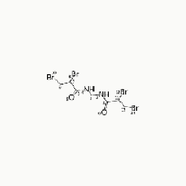 O=C(NCNC(=O)C(Br)CBr)C(Br)CBr